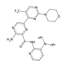 CCCN(CCC)c1cccnc1NC(=O)c1nc(-c2nc(N3CCOCC3)ncc2C(F)(F)F)cnc1N